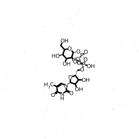 Cc1cn([C@@H]2O[C@H](COP(=O)(O)OP(=O)(O)O[C@H]3OC(CO)[C@H](O)C(O)C3O)C(O)C2O)c(=O)[nH]c1=O